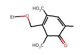 CCOCC1=C(C(=O)O)C=C(C)C(=O)C1C(=O)O